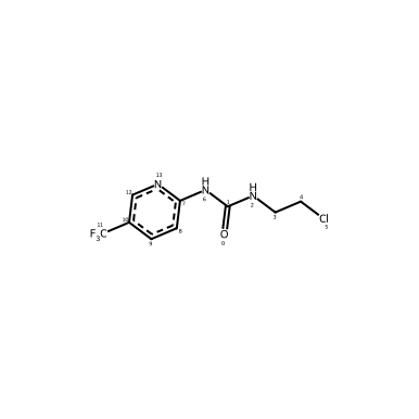 O=C(NCCCl)Nc1ccc(C(F)(F)F)cn1